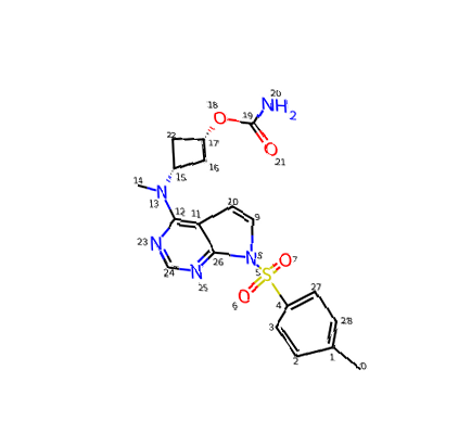 Cc1ccc(S(=O)(=O)n2ccc3c(N(C)[C@H]4C[C@@H](OC(N)=O)C4)ncnc32)cc1